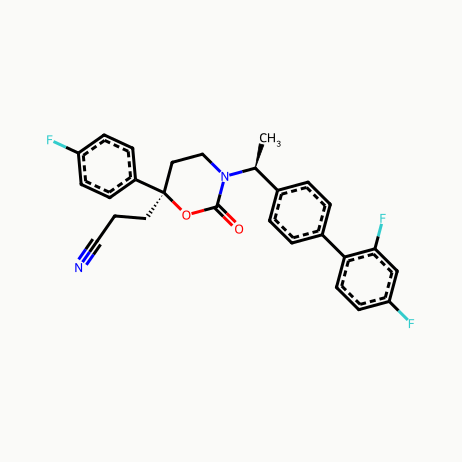 C[C@@H](c1ccc(-c2ccc(F)cc2F)cc1)N1CC[C@](CCC#N)(c2ccc(F)cc2)OC1=O